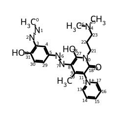 CN=Nc1cc(N=Nc2c(C)c(-[n+]3ccccc3)c(=O)n(CCCN(C)C)c2O)ccc1O